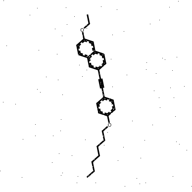 CCCCCCCOc1ccc(C#Cc2ccc3cc(OCC)ccc3c2)cc1